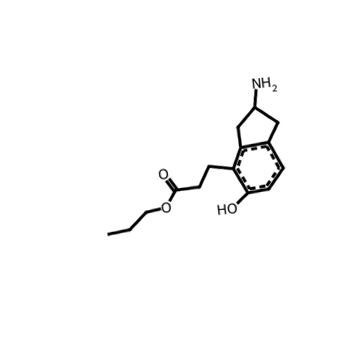 CCCOC(=O)CCc1c(O)ccc2c1CC(N)C2